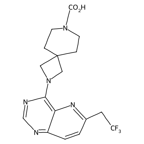 O=C(O)N1CCC2(CC1)CN(c1ncnc3ccc(CC(F)(F)F)nc13)C2